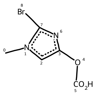 Cn1cc(OC(=O)O)nc1Br